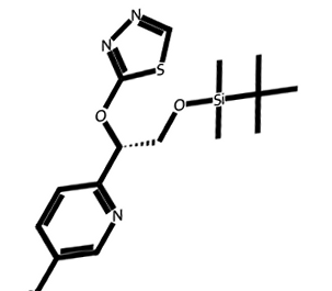 CC(C)(C)[Si](C)(C)OC[C@@H](Oc1nncs1)c1ccc(Cl)cn1